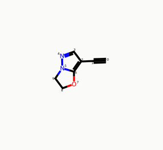 C#Cc1cnn2c1OCC2